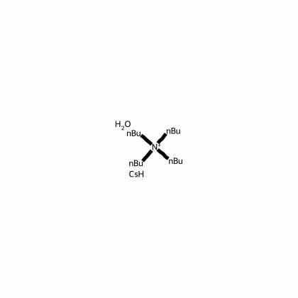 CCCC[N+](CCCC)(CCCC)CCCC.O.[CsH]